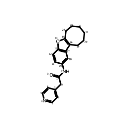 O=C(Cc1ccncc1)Nc1ccc2oc3c(c2c1)CCCCCC3